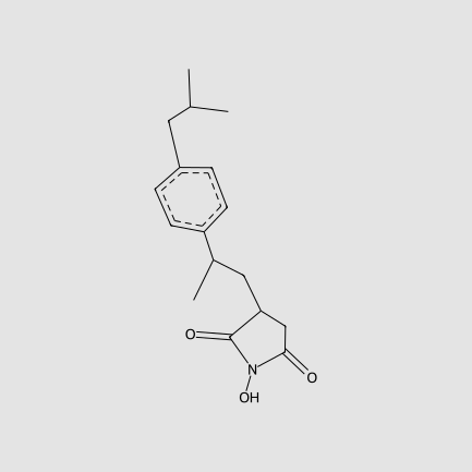 CC(C)Cc1ccc(C(C)CC2CC(=O)N(O)C2=O)cc1